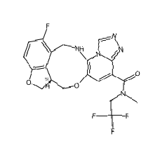 CN(CC(F)(F)F)C(=O)c1cc2c(n3cnnc13)NCc1c(F)ccc3c1[C@@H](CO3)CO2